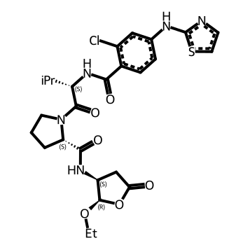 CCO[C@@H]1OC(=O)C[C@@H]1NC(=O)[C@@H]1CCCN1C(=O)[C@@H](NC(=O)c1ccc(Nc2nccs2)cc1Cl)C(C)C